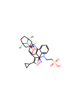 O=C(NCCS(=O)(=O)O)c1ccc(N2[C@@H]3CC[C@H]2C[C@@H](OCc2c(-c4ccccc4OC(F)(F)F)noc2C2CC2)C3)nc1